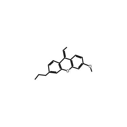 CC=C1c2ccc(CCC)cc2Oc2cc(OC)ccc21